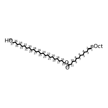 CCCCCCCCC=CCCCCCCCCCC(=O)OCCCCCCCCCCCCCCCCCCCCCCCO